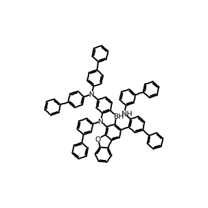 B1c2ccc(N(c3ccc(-c4ccccc4)cc3)c3ccc(-c4ccccc4)cc3)cc2N(c2cccc(-c3ccccc3)c2)c2c1c(-c1cc(-c3ccccc3)ccc1Nc1cccc(-c3ccccc3)c1)cc1c2oc2ccccc21